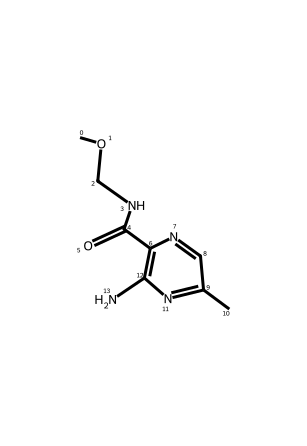 COCNC(=O)c1ncc(C)nc1N